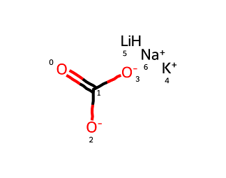 O=C([O-])[O-].[K+].[LiH].[Na+]